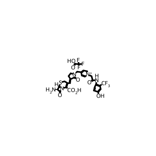 N[C@@H]1C(=O)N2C(C(=O)O)=C(/C=C3\CCN(Cc4cc[n+](CC(=O)Nc5ccc(O)cc5C(F)(F)F)cc4)C3=O)CS[C@H]12.O=C(O)C(F)(F)F